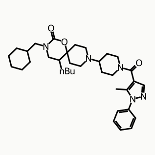 CCCCC1CN(CC2CCCCC2)C(=O)OC12CCN(C1CCN(C(=O)c3cnn(-c4ccccc4)c3C)CC1)CC2